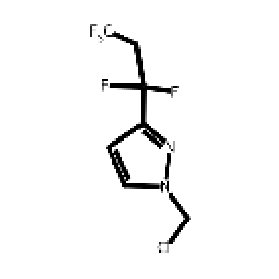 FC(F)(F)CC(F)(F)c1ccn(CCl)n1